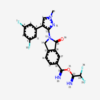 Cn1cc(-c2cc(F)cc(F)c2)c(N2Cc3ccc(C(=N)OC(=N)C(F)F)cc3C2=O)n1